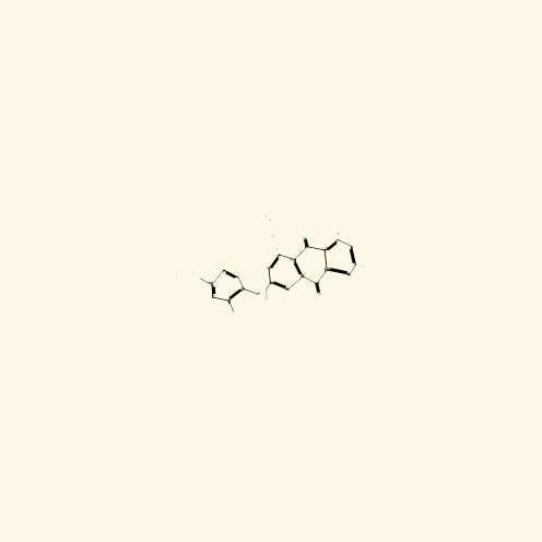 Cc1ccc(Nc2ccc3c(c2)C(=O)c2ccccc2C3=O)c(S(=O)(=O)O)c1.[Na+].[OH-]